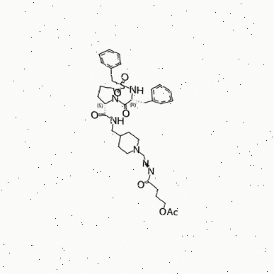 CC(=O)OCCCC(=O)N=NCN1CCC(CNC(=O)[C@@H]2CCCN2C(=O)[C@@H](Cc2ccccc2)NS(=O)(=O)Cc2ccccc2)CC1